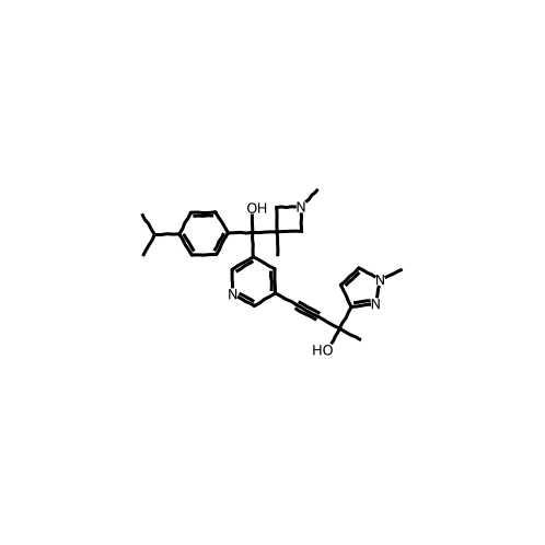 CC(C)c1ccc(C(O)(c2cncc(C#CC(C)(O)c3ccn(C)n3)c2)C2(C)CN(C)C2)cc1